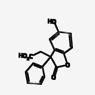 O=C(O)CC1(c2ccccc2)C(=O)Oc2ccc(O)cc21